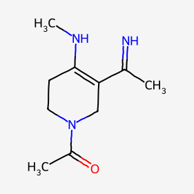 CNC1=C(C(C)=N)CN(C(C)=O)CC1